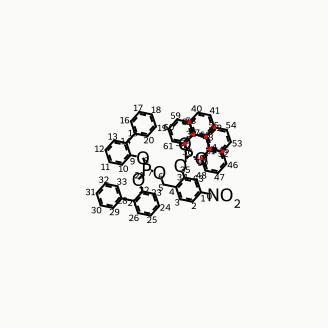 O=[N+]([O-])c1ccc(COP(Oc2ccccc2-c2ccccc2)Oc2ccccc2-c2ccccc2)c(OP(Oc2ccccc2-c2ccccc2)Oc2ccccc2-c2ccccc2)c1